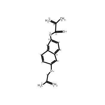 C=C(C)COc1ccc2cc(OC(=O)C(=C)C)ccc2c1